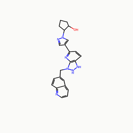 OC1CCCC1n1cc(-c2ccc3c(n2)N(Cc2ccc4ncccc4c2)NN3)cn1